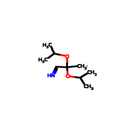 [CH2]C(C=N)(OC(C)C)OC(C)C